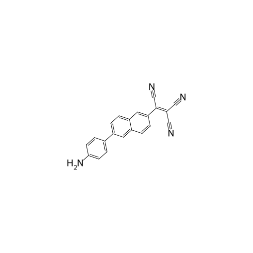 N#CC(C#N)=C(C#N)c1ccc2cc(-c3ccc(N)cc3)ccc2c1